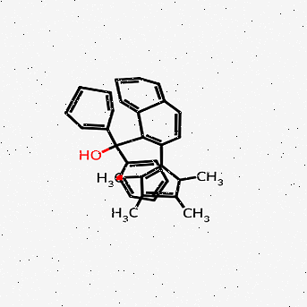 CC1=C(C)C(C)C(c2ccc3ccccc3c2C(O)(c2ccccc2)c2ccccc2)=C1C